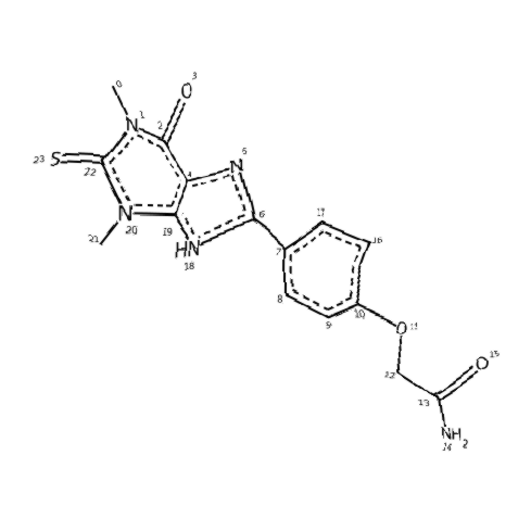 Cn1c(=O)c2nc(-c3ccc(OCC(N)=O)cc3)[nH]c2n(C)c1=S